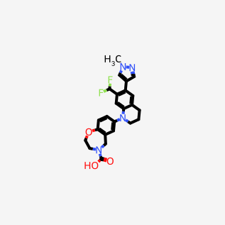 Cn1cc(-c2cc3c(cc2C(F)F)N(c2ccc4c(c2)CN(C(=O)O)CCO4)CCC3)cn1